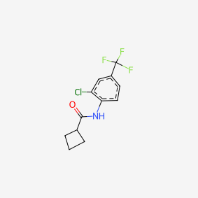 O=C(Nc1ccc(C(F)(F)F)cc1Cl)C1CCC1